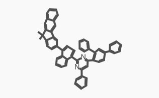 CC1(C)c2ccc(-c3ccc(-c4nc(-c5ccccc5)cc(-c5ccc(-c6ccccc6)cc5-c5ccccc5)n4)c4ccccc34)cc2-c2cc3ccccc3cc21